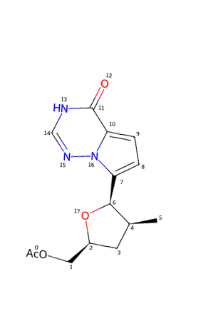 CC(=O)OC[C@@H]1C[C@H](C)[C@H](c2ccc3c(=O)[nH]cnn23)O1